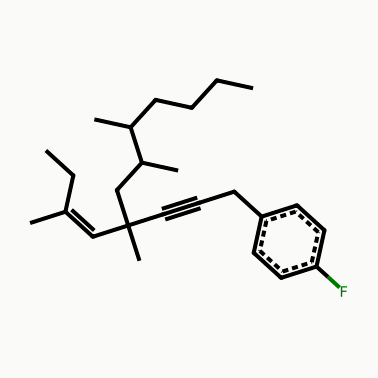 CCCCC(C)C(C)CC(C)(C#CCc1ccc(F)cc1)/C=C(/C)CC